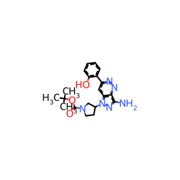 CC(C)(C)OC(=O)N1CCC(n2nc(N)c3nnc(-c4ccccc4O)cc32)C1